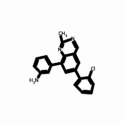 Cc1ncc2cc(-c3ccccc3Cl)cc(-c3cccc(N)c3)c2n1